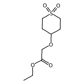 CCOC(=O)COC1CCS(=O)(=O)CC1